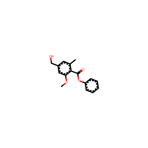 COc1cc(CO)cc(C)c1C(=O)Oc1ccccc1